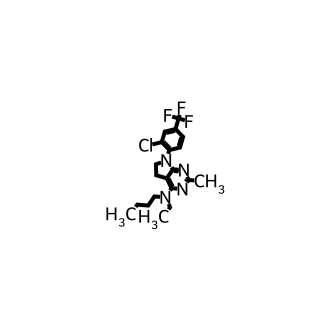 CCCCN(CC)c1nc(C)nc2c1CCN2c1ccc(C(F)(F)F)cc1Cl